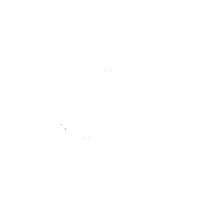 CCNC(=O)c1ccc(Oc2ccccc2)cc1